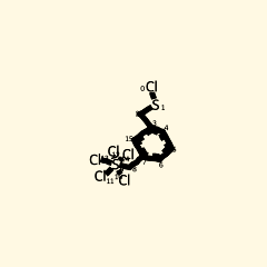 ClSCc1cccc(CS(Cl)(Cl)(Cl)(Cl)Cl)c1